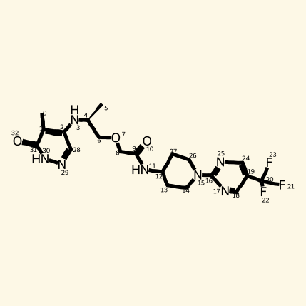 Cc1c(N[C@@H](C)COCC(=O)NC2CCN(c3ncc(C(F)(F)F)cn3)CC2)cn[nH]c1=O